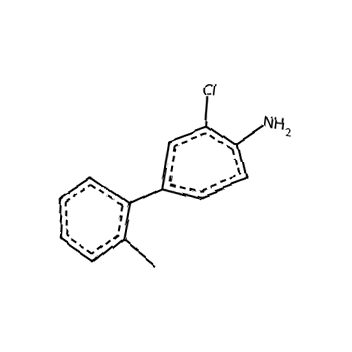 Cc1ccccc1-c1ccc(N)c(Cl)c1